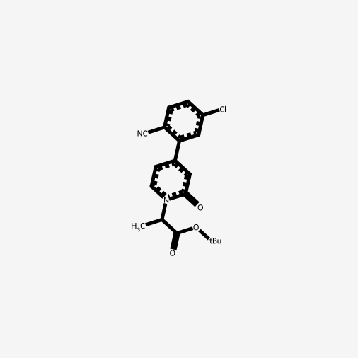 CC(C(=O)OC(C)(C)C)n1ccc(-c2cc(Cl)ccc2C#N)cc1=O